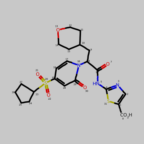 O=C(O)c1cnc(NC(=O)C(CC2CCOCC2)n2ccc(S(=O)(=O)C3CCCC3)cc2=O)s1